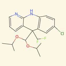 CC(C)OC(OC(C)C)C1(C(F)F)c2cc(Cl)ccc2Nc2ncccc21